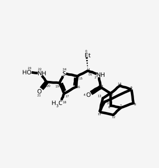 CC[C@H](NC(=O)C12CC3CC(CC(C3)C1)C2)c1cc(C)c(C(=O)NO)s1